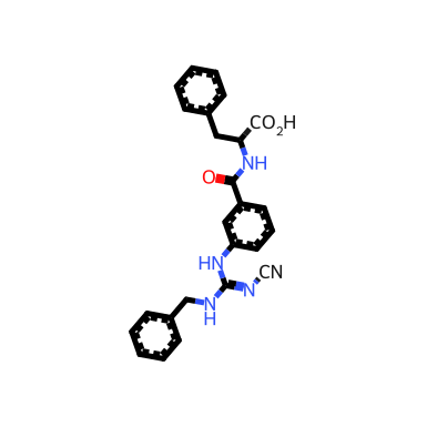 N#CN=C(NCc1ccccc1)Nc1cccc(C(=O)NC(Cc2ccccc2)C(=O)O)c1